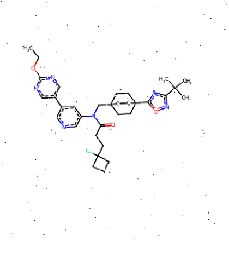 CCOc1ncc(-c2cncc(N(CC34CCC(c5nc(C(C)(C)C)no5)(CC3)CC4)C(=O)CCC3(F)CCC3)c2)cn1